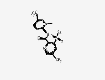 CCS(=O)(=O)c1cc(C(F)(F)F)cnc1C(=O)/N=c1\ccc(C(F)(F)F)nn1C